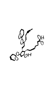 CC#CCC[C@@H](/C=C/[C@@H]1[C@@H](C/C=C\CCCC(=O)O)[C@@H](O)C[C@H]1OC1CCCCO1)OC1CCCCO1